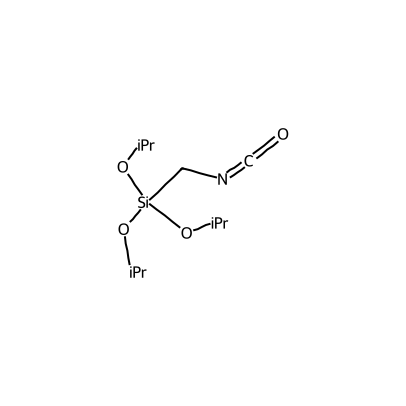 CC(C)O[Si](CN=C=O)(OC(C)C)OC(C)C